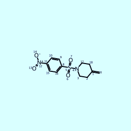 C=C1CCN(S(=O)(=O)c2ccc([N+](=O)[O-])cc2)CC1